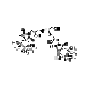 CN1C(C)(C)CC2(CC1(C)C)NC(=O)N(CC(O)COCC(CO)OCC(O)CN1C(=O)NC3(CC(C)(C)N(C)C(C)(C)C3)C1=O)C2=O